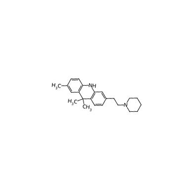 Cc1ccc2c(c1)C(C)(C)c1ccc(CCN3CCCCC3)cc1N2